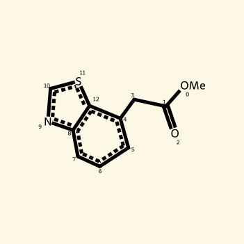 COC(=O)Cc1cccc2ncsc12